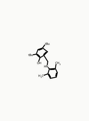 Cc1cccc(C)c1NCc1cc(C(C)(C)C)cc(C(C)(C)C)c1O